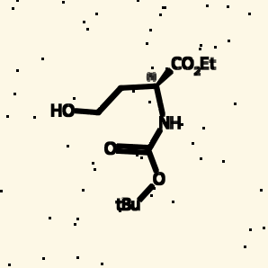 CCOC(=O)[C@H](CCO)NC(=O)OC(C)(C)C